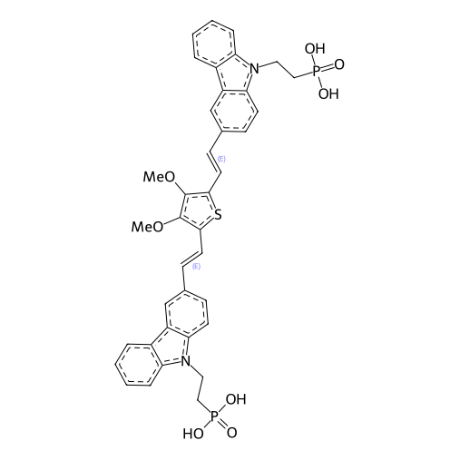 COc1c(/C=C/c2ccc3c(c2)c2ccccc2n3CCP(=O)(O)O)sc(/C=C/c2ccc3c(c2)c2ccccc2n3CCP(=O)(O)O)c1OC